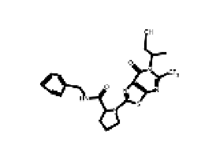 CC(CO)n1c(C(F)(F)F)nc2sc(N3CCCC3C(=O)NCc3ccccc3)nc2c1=O